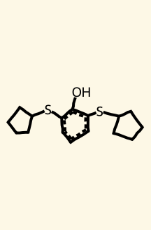 Oc1c(SC2CCCC2)cccc1SC1CCCC1